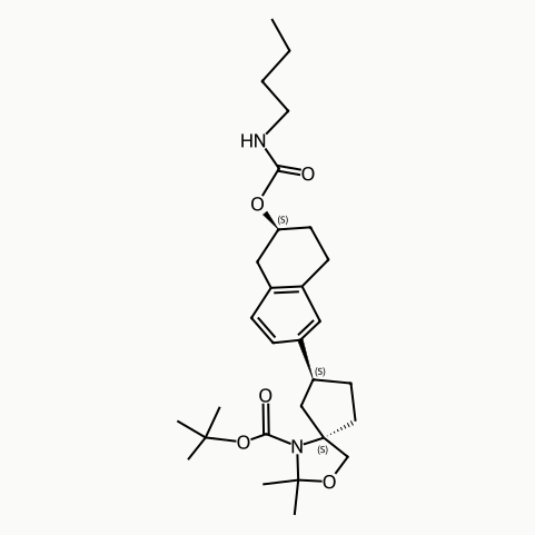 CCCCNC(=O)O[C@H]1CCc2cc([C@H]3CC[C@@]4(COC(C)(C)N4C(=O)OC(C)(C)C)C3)ccc2C1